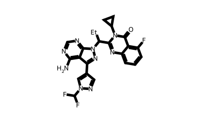 CCC(c1nc2cccc(F)c2c(=O)n1C1CC1)n1nc(-c2cnn(C(F)F)c2)c2c(N)ncnc21